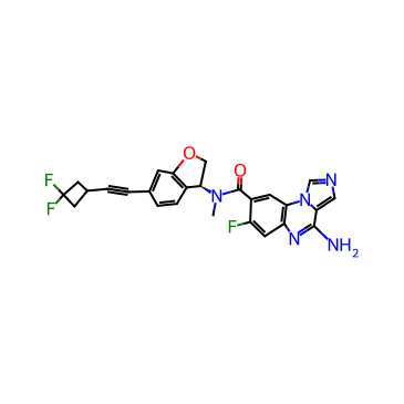 CN(C(=O)c1cc2c(cc1F)nc(N)c1cncn12)[C@@H]1COc2cc(C#CC3CC(F)(F)C3)ccc21